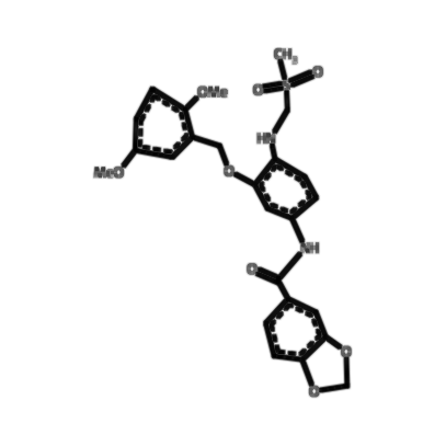 COc1ccc(OC)c(COc2cc(NC(=O)c3ccc4c(c3)OCO4)ccc2NCS(C)(=O)=O)c1